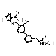 CCOc1cc(-c2cccc(CCC(=O)NO)c2)ccc1-c1nc2[nH]cnc2c(=O)[nH]1